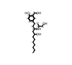 CCCCCCCC(O)CC(CCc1ccc(O)c(CO)c1)NC(C)CO